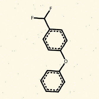 FC(F)c1ccc(Oc2ccccc2)cc1